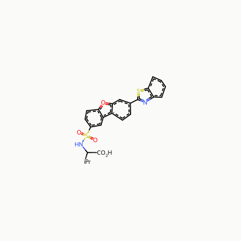 CC(C)C(NS(=O)(=O)c1ccc2oc3cc(-c4nc5ccccc5s4)ccc3c2c1)C(=O)O